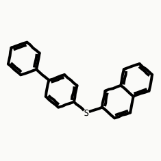 c1ccc(-c2ccc(Sc3ccc4ccccc4c3)cc2)cc1